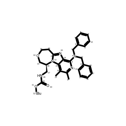 Cc1nc(N(Cc2ccccc2)Cc2ccccc2)c2nc3n(c2c1C)[C@@H](CNC(=O)OC(C)(C)C)COCC3